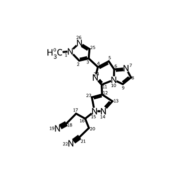 Cn1cc(-c2cc3nccn3c(-c3cnn(C(CC#N)CC#N)c3)n2)cn1